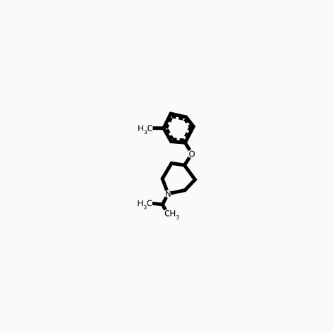 Cc1cccc(OC2CCN(C(C)C)CC2)c1